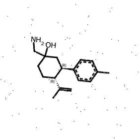 C=C(C)[C@@H]1CCC(O)(CN)C[C@H]1c1ccc(C)cc1